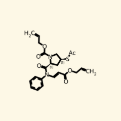 C=CCOC(=O)C=CN(C(=O)[C@@H]1C[C@H](SC(C)=O)CN1C(=O)OCC=C)c1ccccc1